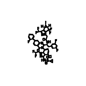 C[C@@H]1[C@@H]2c3c(C(F)F)nn(CC(=O)N[C@@H](Cc4cc(F)cc(F)c4)c4nc5cc(-c6ccccc6F)ccc5c(=O)n4C4=CC=C(Cl)C5C(NS(=O)(=O)C6CC6)=NN(CC(F)F)C45)c3C(F)(F)[C@H]12